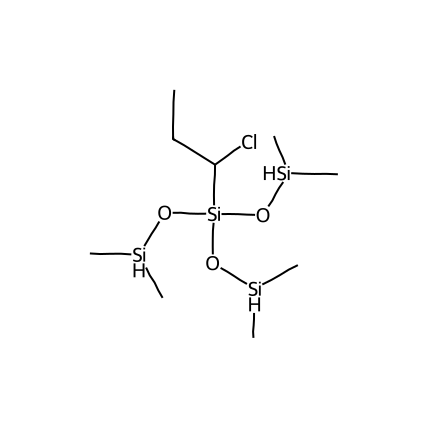 CCC(Cl)[Si](O[SiH](C)C)(O[SiH](C)C)O[SiH](C)C